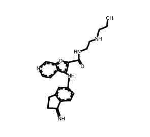 N=C1CCc2cc(Nc3c(C(=O)NCCNCCO)oc4cnccc34)ccc21